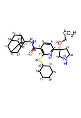 O=C(O)CO[C@]1(c2ccc(C(=O)NC3C4CC5CC(C4)CC3C5)c(SC3CCCCC3)n2)CCNC1